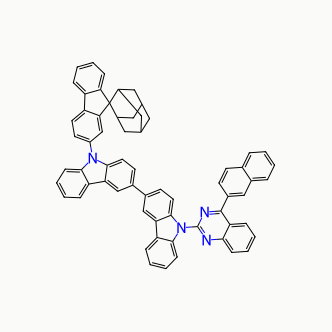 c1ccc2c(c1)-c1ccc(-n3c4ccccc4c4cc(-c5ccc6c(c5)c5ccccc5n6-c5nc(-c6ccc7ccccc7c6)c6ccccc6n5)ccc43)cc1C21C2CC3CC(C2)CC1C3